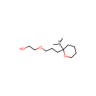 C[SiH](C)C1(CCCOCCO)CCCCO1